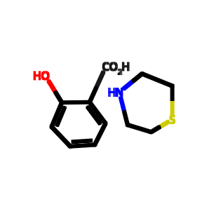 C1CSCCN1.O=C(O)c1ccccc1O